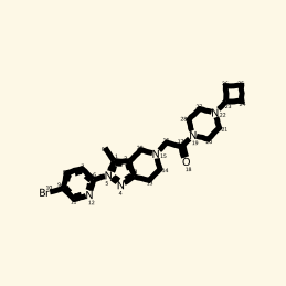 Cc1c2c(nn1-c1ccc(Br)cn1)CCN(CC(=O)N1CCN(C3CCC3)CC1)C2